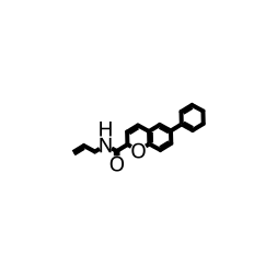 C=CCNC(=O)C1C=Cc2cc(C3=CCCC=C3)ccc2O1